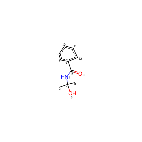 CC(C)(O)NC(=O)c1ccccc1